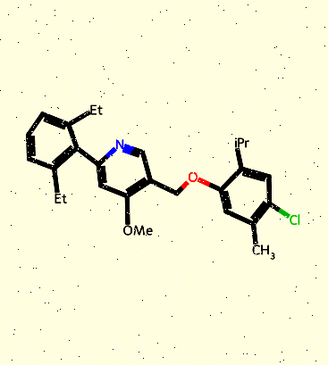 CCc1cccc(CC)c1-c1cc(OC)c(COc2cc(C)c(Cl)cc2C(C)C)cn1